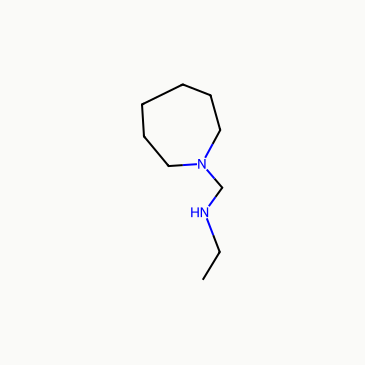 CCNCN1CCCCCC1